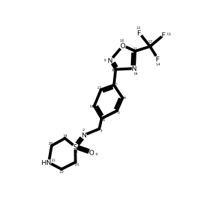 O=S1(=NCc2ccc(-c3noc(C(F)(F)F)n3)cc2)CCNCC1